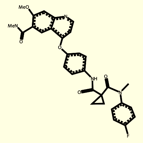 CNC(=O)c1cc2c(Oc3ccc(NC(=O)C4(C(=O)N(C)c5ccc(F)cc5)CC4)cc3)ccnc2cc1OC